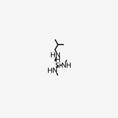 CN[SiH](CNCC(C)C)NC